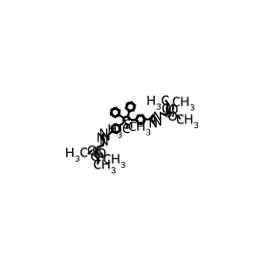 CCO[Si](CCn1cc(-c2ccc(C3=C(c4ccccc4)C(c4ccccc4)=C(c4ccc(-c5cn(CC[Si](OCC)(OCC)OCC)nn5)cc4)[Si]3(C)C)cc2)nn1)(OCC)OCC